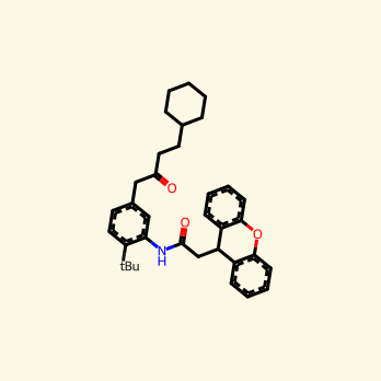 CC(C)(C)c1ccc(CC(=O)CCC2CCCCC2)cc1NC(=O)CC1c2ccccc2Oc2ccccc21